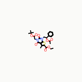 CCOC(=O)c1sc2c(c1C)c(=O)n(CC(=O)OC(C)(C)C)c(=O)n2CC(OC(C)=O)c1ccccc1